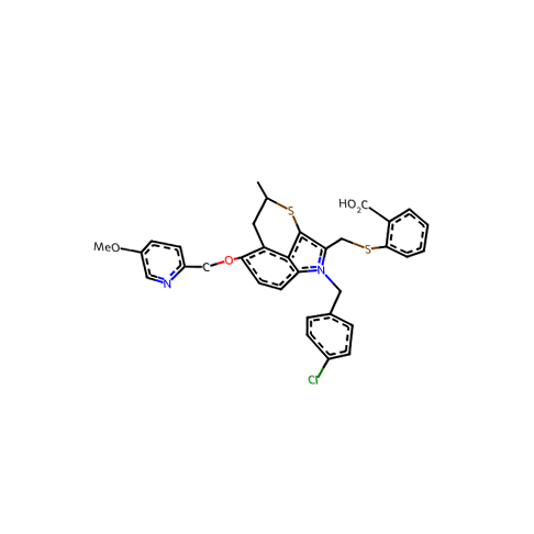 COc1ccc(COc2ccc3c4c2CC(C)Sc4c(CSc2ccccc2C(=O)O)n3Cc2ccc(Cl)cc2)nc1